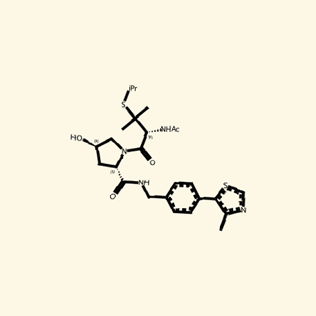 CC(=O)N[C@H](C(=O)N1C[C@H](O)C[C@H]1C(=O)NCc1ccc(-c2scnc2C)cc1)C(C)(C)SC(C)C